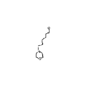 [O]CCCCCCN1CCOCC1